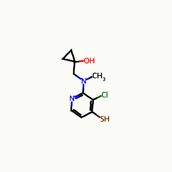 CN(CC1(O)CC1)c1nccc(S)c1Cl